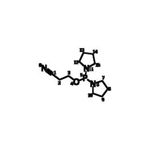 N#CCCOP(N1CCCC1)N1CCCC1